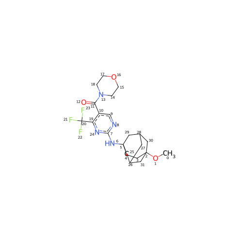 COC12CCC3(Nc4ncc(C(=O)N5CCOCC5)c(C(F)(F)F)n4)CC(CC(C3)C1)C2